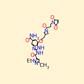 CCn1nc(C)cc1C(=O)Nc1nc2cc(C(N)=O)cc(OCCC3CN(C(=O)CCN4C(=O)C=CC4=O)C3)c2[nH]1